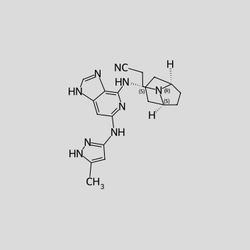 Cc1cc(Nc2cc3[nH]cnc3c(N[C@@H]3C[C@H]4CC[C@@H](C3)N4CCC#N)n2)n[nH]1